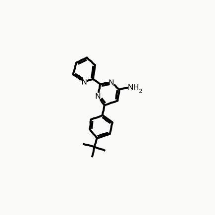 CC(C)(C)c1ccc(-c2cc(N)nc(-c3ccccn3)n2)cc1